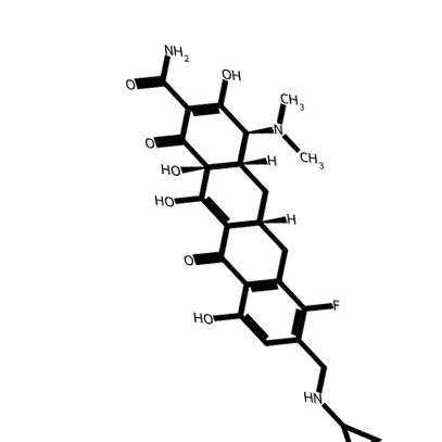 CN(C)[C@@H]1C(O)=C(C(N)=O)C(=O)[C@@]2(O)C(O)=C3C(=O)c4c(O)cc(CNC5CC5)c(F)c4C[C@H]3C[C@@H]12